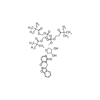 CC(C)(C)C(=O)CCOP(=O)(OC[C@H]1O[C@@H](n2ccc(=O)n(Cc3noc4ccccc34)c2=O)C(O)[C@H]1O)OP(=O)(OCOC(=O)C(C)(C)C)OCOC(=O)C(C)(C)C